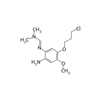 COc1cc(N)c(/N=C/N(C)C)cc1OCCCCl